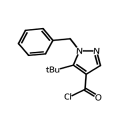 CC(C)(C)c1c(C(=O)Cl)cnn1Cc1ccccc1